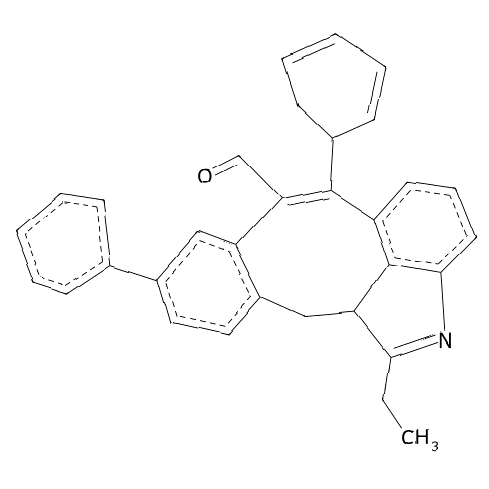 CCC1=Nc2cccc3c2C1Cc1ccc(-c2ccccc2)cc1/C(C=O)=C\3C1C=CC=CC1